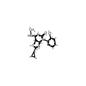 CNc1nc(=O)n(-c2ccccc2Cl)c2nc(C3CC3)sc12